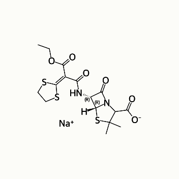 CCOC(=O)C(C(=O)N[C@@H]1C(=O)N2C(C(=O)[O-])C(C)(C)S[C@H]12)=C1SCCS1.[Na+]